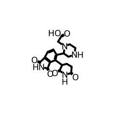 O=C(O)CN1CCNCC1c1ccc2c(c1C1CCC(=O)NC1=O)C(=O)NC2=O